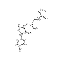 CC(C)(C)OC(=O)NCC(=CF)Cn1ncn(-c2ccc(Br)nc2)c1=O